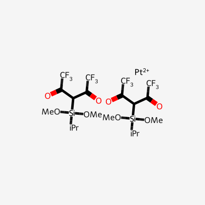 CO[Si](OC)(C(C)C)C(C(=O)C(F)(F)F)C(=O)C(F)(F)F.CO[Si](OC)(C(C)C)C(C(=O)C(F)(F)F)C(=O)C(F)(F)F.[Pt+2]